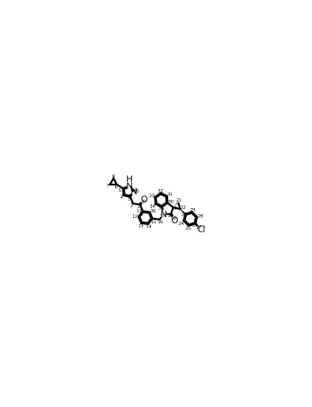 O=C(Cc1cc(C2CC2)[nH]n1)c1cccc(CN2C(=O)[C@@]3(C[C@H]3c3ccc(Cl)cc3)c3ccccc32)c1